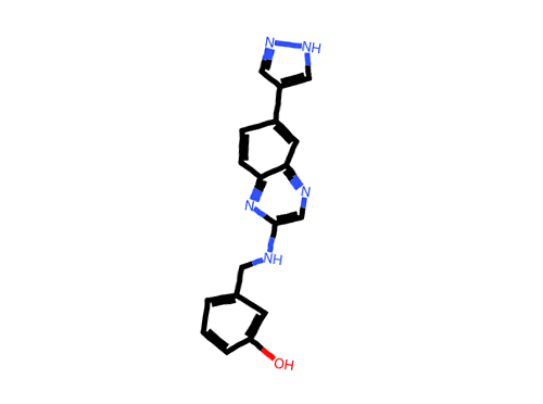 Oc1cccc(CNc2cnc3cc(-c4cn[nH]c4)ccc3n2)c1